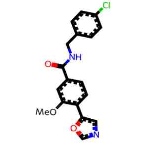 COc1cc(C(=O)NCc2ccc(Cl)cc2)ccc1-c1cnco1